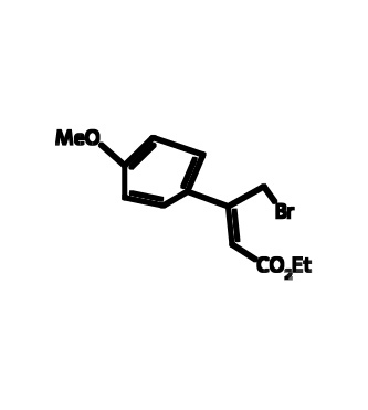 CCOC(=O)C=C(CBr)c1ccc(OC)cc1